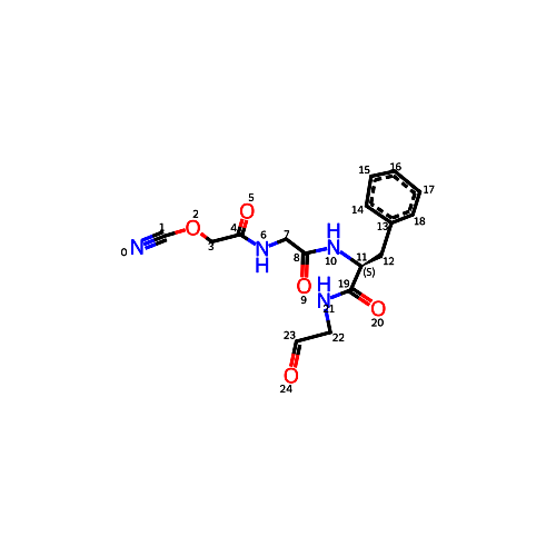 N#COCC(=O)NCC(=O)N[C@@H](Cc1ccccc1)C(=O)NCC=O